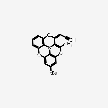 C#C/C=C1/Oc2cccc3c2B2C1=C(C)Oc1cc(C(C)(C)C)cc(c12)O3